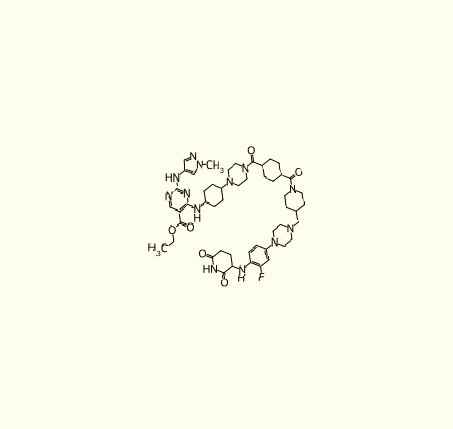 CCOC(=O)c1cnc(Nc2cnn(C)c2)nc1NC1CCC(N2CCN(C(=O)C3CCC(C(=O)N4CCC(CN5CCN(c6ccc(NC7CCC(=O)NC7=O)c(F)c6)CC5)CC4)CC3)CC2)CC1